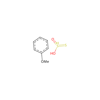 COc1ccccc1.O=[SH](O)=S